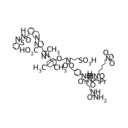 Cc1c(-c2ccc(N3CCc4cccc(C(=O)Nc5nc6ccccc6s5)c4C3)nc2C(=O)O)cnn1CC12CC3(C)CC(C)(C1)CC(OCCN(CCCS(=O)(=O)O)C(=O)OCc1ccc(NC(=O)[C@H](CCCNC(N)=O)NC(=O)[C@@H](NC(=O)CCCCCN4C(=O)C=CC4=O)C(C)C)cc1)(C3)C2